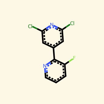 Fc1cccnc1-c1cc(Cl)nc(Cl)c1